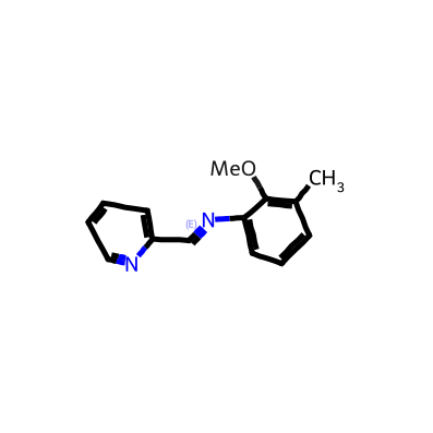 COc1c(C)cccc1/N=C/c1ccccn1